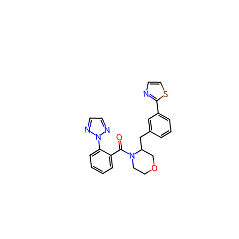 O=C(c1ccccc1-n1nccn1)N1CCOCC1Cc1cccc(-c2nccs2)c1